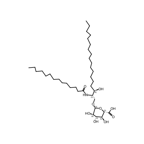 CCCCCCCCCCCCCCC[C@@H](O)[C@H](CO[C@H]1O[C@H](C(=O)O)[C@@H](O)[C@H](O)[C@H]1O)NC(=O)CCCCCCCCCCCCC